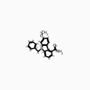 COc1c[c]c2c3c(C(N)=O)cccc3n(Cc3ccccc3)c2c1